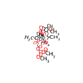 COC(=O)CC/C(C)=C/Cc1c(OC)c(C)c2c(c1OC(=O)CC(C)(C)c1c(C)cc(C)cc1OC(=O)CCC(=O)OC(COC(C)=O)COC(C)=O)C(=O)OC2